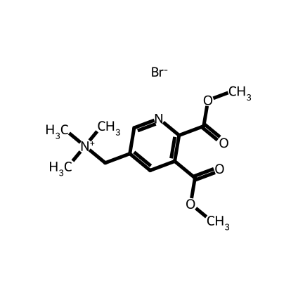 COC(=O)c1cc(C[N+](C)(C)C)cnc1C(=O)OC.[Br-]